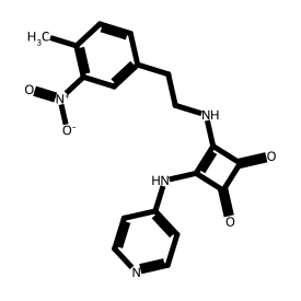 Cc1ccc(CCNc2c(Nc3ccncc3)c(=O)c2=O)cc1[N+](=O)[O-]